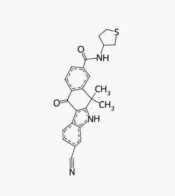 CC1(C)c2cc(C(=O)NC3CCSC3)ccc2C(=O)c2c1[nH]c1cc(C#N)ccc21